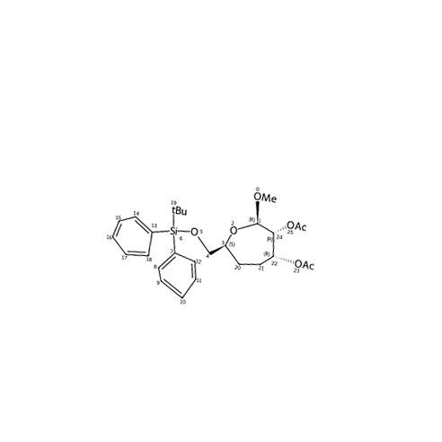 CO[C@@H]1O[C@H](CO[Si](c2ccccc2)(c2ccccc2)C(C)(C)C)CC[C@@H](OC(C)=O)[C@H]1OC(C)=O